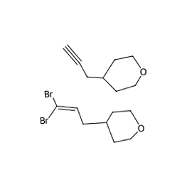 BrC(Br)=CCC1CCOCC1.C#CCC1CCOCC1